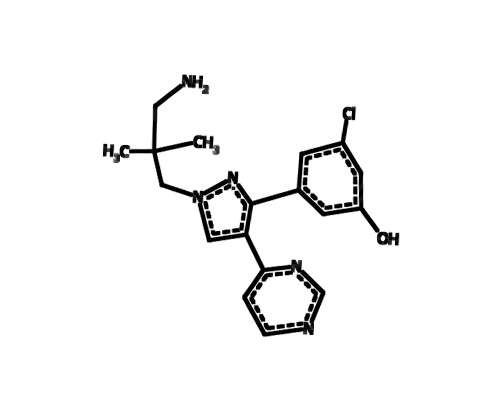 CC(C)(CN)Cn1cc(-c2ccncn2)c(-c2cc(O)cc(Cl)c2)n1